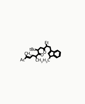 CCC(CC1=CC(C)c2ccccc21)C(=O)CC(C(=O)C(C)C/C=C(\C)C(C)=O)C(C)(C)C